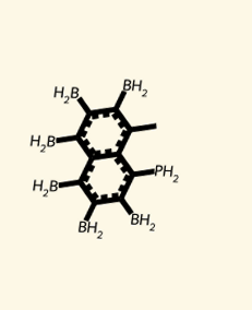 Bc1c(B)c(C)c2c(P)c(B)c(B)c(B)c2c1B